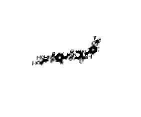 Cc1cc(S(=O)(=O)NCC(O)CO)ccc1CCS(=O)(=O)N1CCC2(CC1)N=C(c1cccc(OC(F)(F)F)c1)NC2=O